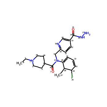 CCN1CCC(C(=O)N(Cc2ccc(C(=O)NN)cn2)C2=CC=CC(F)C2C)CC1